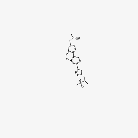 CC(C[C@H]1CC(c2ccc(-c3ccc(C[C@@H](C)O)cc3F)c(F)c2)=NO1)S(C)(=O)=O